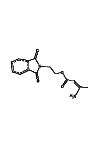 CC(N)=CC(=O)OCCN1C(=O)c2ccccc2C1=O